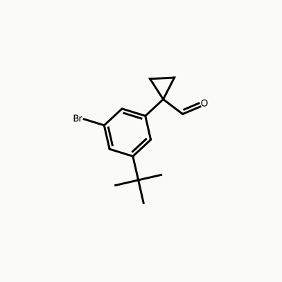 CC(C)(C)c1cc(Br)cc(C2(C=O)CC2)c1